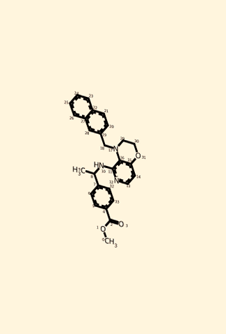 COC(=O)c1ccc(C(C)Nc2nccc3c2N(Cc2ccc4ccccc4c2)CCO3)cc1